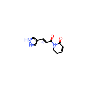 O=C1C=CCCN1C(=O)/C=C/c1cn[nH]c1